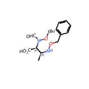 C[C@H](NOCc1ccccc1)[C@@H](C(=O)O)N(C=O)OC(C)(C)C